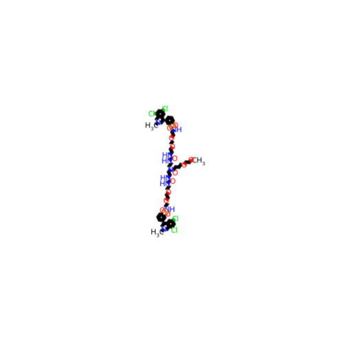 COCCOCCCC(=O)N(CCNC(=O)NCCOCCOCCNS(=O)(=O)c1cccc([C@@H]2CN(C)Cc3c(Cl)cc(Cl)cc32)c1)CCNC(=O)NCCOCCOCCNS(=O)(=O)c1cccc([C@@H]2CN(C)Cc3c(Cl)cc(Cl)cc32)c1